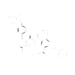 CC(=O)N[C@@H](Cc1ccc(OP(=O)(O)O)cc1)C(=O)N[C@@H]1CCCCc2cc(OCC3CCCCC3)c(C(N)=O)cc21